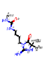 CCCCNC(=O)NCCCCN1C(=N)NC(CCCC)(CCCC)C1=O